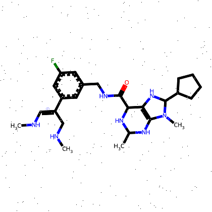 CN/C=C(\CNC)c1cc(F)cc(CNC(=O)C2NC(C)NC3=C2NC(C2CCCC2)N3C)c1